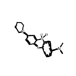 CC[Si]1(CC)C2=CC(=[N+]3CCCCC3)C=CC2=Nc2ccc(N(C)C)cc21